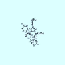 COC(=O)c1sc(C#CC(C)(C)C)cc1N(C(=O)C1CCC(C)CC1)C1CCC2(CC1)OCCO2